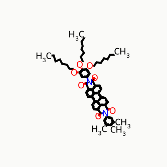 CCCCCCCCOc1cc(N2C(=O)c3ccc4c5ccc6c7c(ccc(c8ccc(c3c48)C2=O)c75)C(=O)N(c2cc(C)c(C)c(C)c2)C6=O)cc(OCCCCCCCC)c1OCCCCCCCC